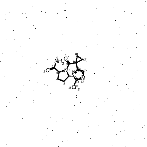 NC(=O)C1CCCN1C(=O)C1(c2cnc(C(F)(F)F)s2)CC1